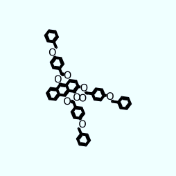 O=C(Oc1ccc2c(OC(=O)c3ccc(OCc4ccccc4)cc3)c3ccccc3cc2c1OC(=O)c1ccc(OCc2ccccc2)cc1)c1ccc(OCc2ccccc2)cc1